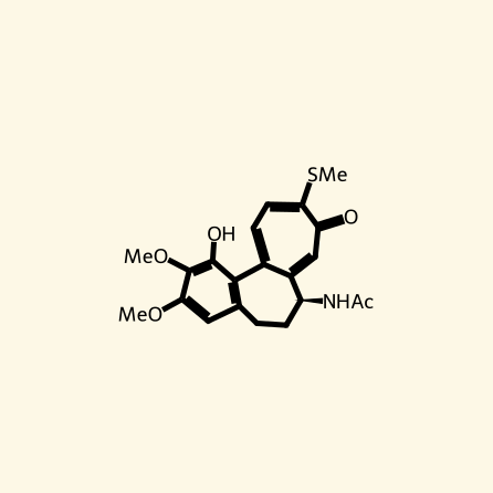 COc1cc2c(c(O)c1OC)-c1ccc(SC)c(=O)cc1[C@@H](NC(C)=O)CC2